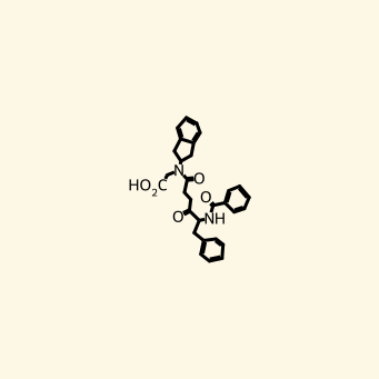 O=C(O)CN(C(=O)CCC(=O)C(Cc1ccccc1)NC(=O)c1ccccc1)C1Cc2ccccc2C1